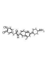 Cc1cc(N2CCC(N)CC2)nc2ccc(NC(=O)Cc3ccc(Cl)c(Cl)c3)cc12